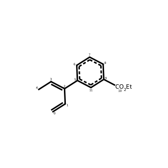 C=C/C(=C\C)c1cccc(C(=O)OCC)c1